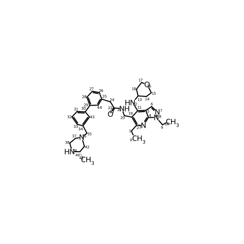 CCc1nc2c(cnn2CC)c(NC2CCOCC2)c1CNC(=O)Cc1cccc(-c2cccc(CN3CCN[C@@H](C)C3)c2)c1